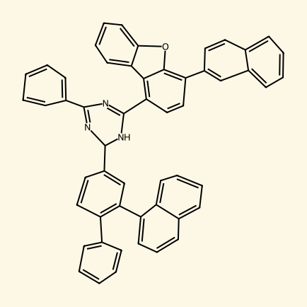 c1ccc(C2=NC(c3ccc(-c4ccccc4)c(-c4cccc5ccccc45)c3)NC(c3ccc(-c4ccc5ccccc5c4)c4oc5ccccc5c34)=N2)cc1